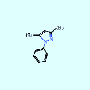 CC(C)(C)c1cc(C(C)(C)C)n(-c2cc[c]cc2)n1